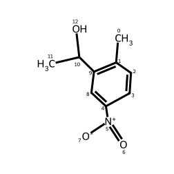 Cc1ccc([N+](=O)[O-])cc1C(C)O